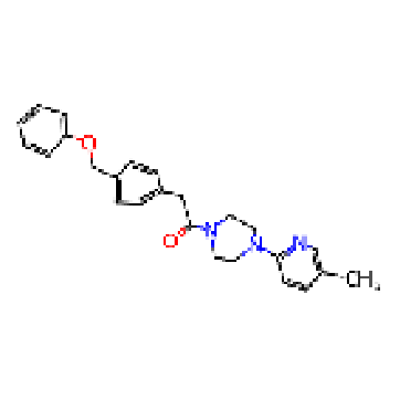 Cc1ccc(N2CCN(C(=O)Cc3ccc(COc4ccccc4)cc3)CC2)nc1